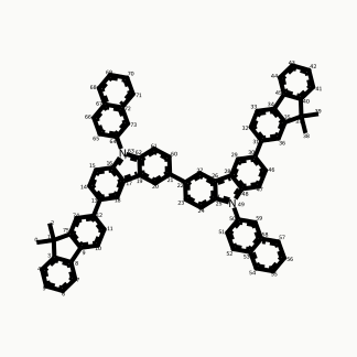 CC1(C)c2ccccc2-c2ccc(-c3ccc4c(c3)c3cc(-c5ccc6c(c5)c5cc(-c7ccc8c(c7)C(C)(C)c7ccccc7-8)ccc5n6-c5ccc6ccccc6c5)ccc3n4-c3ccc4ccccc4c3)cc21